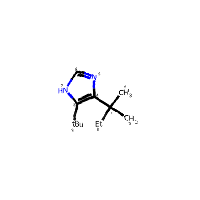 CCC(C)(C)c1nc[nH]c1C(C)(C)C